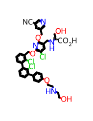 N#Cc1cncc(COc2nc(OCc3cccc(-c4cccc(-c5ccc(OCCNCCO)cc5)c4Cl)c3Cl)c(Cl)cc2CN[C@@H](CO)C(=O)O)c1